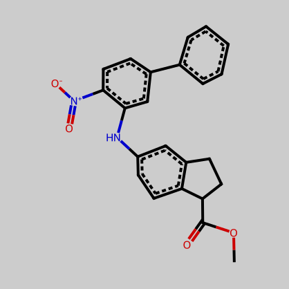 COC(=O)C1CCc2cc(Nc3cc(-c4ccccc4)ccc3[N+](=O)[O-])ccc21